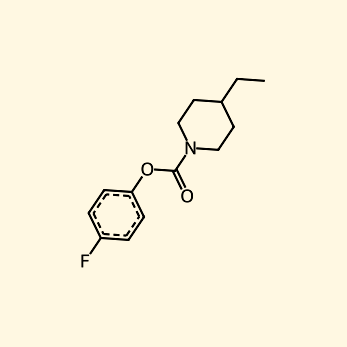 CCC1CCN(C(=O)Oc2ccc(F)cc2)CC1